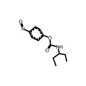 CCC(CC)NC(=O)Oc1ccc(N=O)cc1